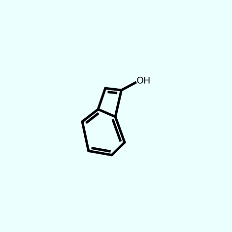 OC1=Cc2ccccc21